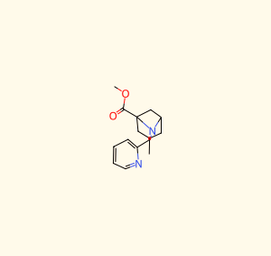 COC(=O)C12CC(C)CC(C1)N2Cc1ccccn1